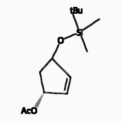 CC(=O)O[C@H]1C=CC(O[Si](C)(C)C(C)(C)C)C1